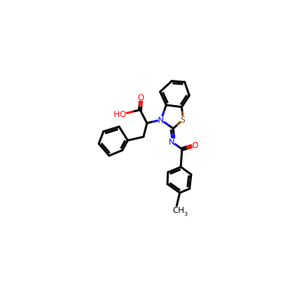 Cc1ccc(C(=O)N=c2sc3ccccc3n2C(Cc2ccccc2)C(=O)O)cc1